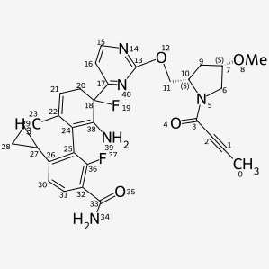 CC#CC(=O)N1C[C@@H](OC)C[C@H]1COc1nccc(C2(F)CC=C(C)C(c3c(C4CC4)ccc(C(N)=O)c3F)=C2N)n1